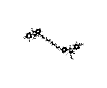 CC1(C)C(=O)N(c2ccc(C#N)c(F)c2)C(=S)N1c1ccc(OCCOCCOCCOCCNc2cccc3c2C(=O)N([C@H]2CCC(=O)NC2=O)C3=O)cc1